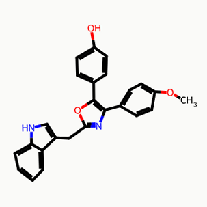 COc1ccc(-c2nc(Cc3c[nH]c4ccccc34)oc2-c2ccc(O)cc2)cc1